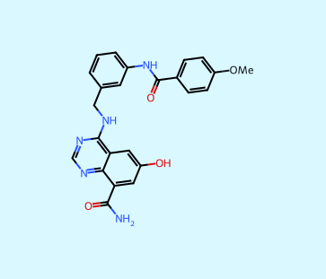 COc1ccc(C(=O)Nc2cccc(CNc3ncnc4c(C(N)=O)cc(O)cc34)c2)cc1